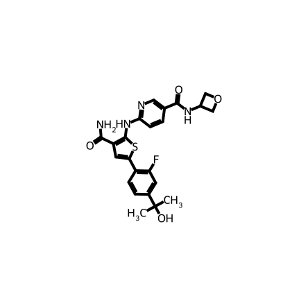 CC(C)(O)c1ccc(-c2cc(C(N)=O)c(Nc3ccc(C(=O)NC4COC4)cn3)s2)c(F)c1